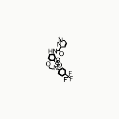 CN1CC=CC(C(=O)Nc2ccc3c(c2)S(=O)(=O)N(c2ccc(C(F)(F)F)cc2)CCO3)=N1